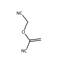 C=C(C#N)OCC#N